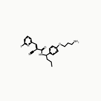 CCCC(NC(=O)/C(C#N)=C/c1cccc(F)n1)c1ccc(OCCCN)cc1